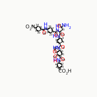 CC(C)Oc1c(NC(=O)c2ccc(NC(=O)C(CC(N)=O)NC(=O)c3ccc(NC(=O)c4ccc([N+](=O)[O-])cc4)cc3)cc2)ccc(C(=O)Nc2ccc(C(=O)O)cc2)c1O